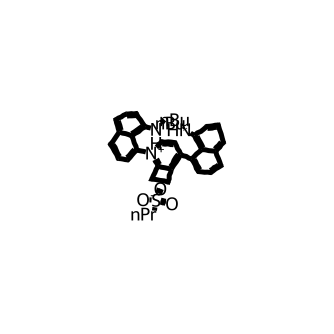 CCCCNc1cccc2cccc(-c3cc[n+](-c4cccc5cccc(NCCCC)c45)c4c3CC4)c12.CCCS(=O)(=O)[O-]